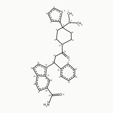 CN(C)C1(c2cccs2)CCN(C(=O)CC(c2ccccc2)n2ccc3ccc(C(N)=O)cc32)CC1